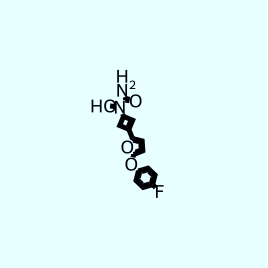 NC(=O)N(O)C1C=C(c2ccc(Oc3ccc(F)cc3)o2)C1